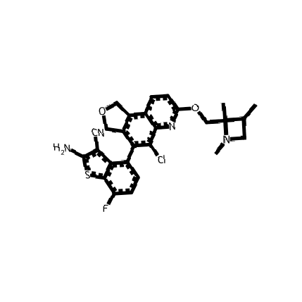 CC1CN(C)C1(C)COc1ccc2c3c(c(-c4ccc(F)c5sc(N)c(C#N)c45)c(Cl)c2n1)COC3